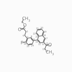 CCOC(=O)CCc1cc(-c2cc(C(=O)CC)cc3ccccc23)ccc1F